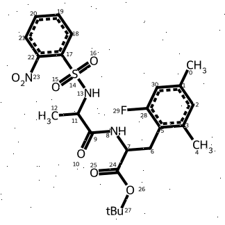 Cc1cc(C)c(CC(NC(=O)C(C)NS(=O)(=O)c2ccccc2[N+](=O)[O-])C(=O)OC(C)(C)C)c(F)c1